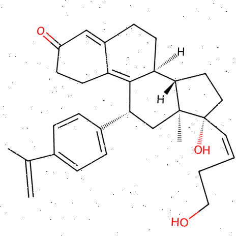 C=C(C)c1ccc([C@H]2C[C@@]3(C)[C@@H](CC[C@@]3(O)/C=C\CCO)[C@@H]3CCC4=CC(=O)CCC4=C32)cc1